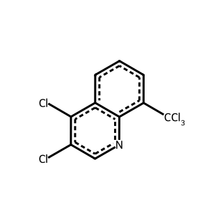 Clc1cnc2c(C(Cl)(Cl)Cl)cccc2c1Cl